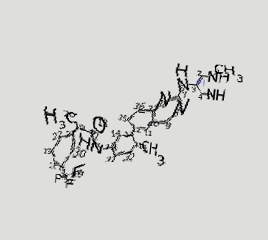 CN/C=C(\C=N)Nc1ncc2cc(-c3cc(NC(=O)C(C)c4cccc(C(F)(F)F)c4)ccc3C)ccc2n1